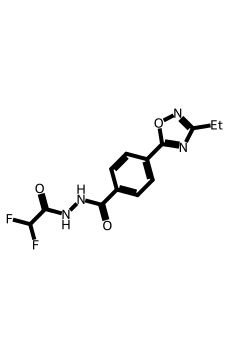 CCc1noc(-c2ccc(C(=O)NNC(=O)C(F)F)cc2)n1